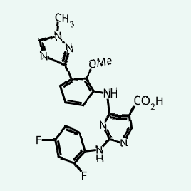 COc1c(Nc2nc(Nc3ccc(F)cc3F)ncc2C(=O)O)cccc1-c1ncn(C)n1